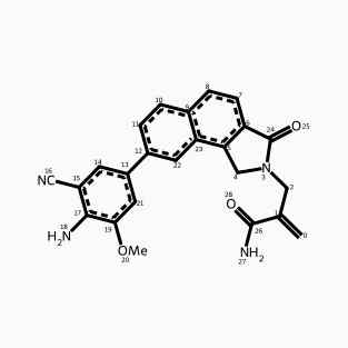 C=C(CN1Cc2c(ccc3ccc(-c4cc(C#N)c(N)c(OC)c4)cc23)C1=O)C(N)=O